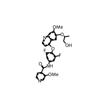 COc1cc2nccc(Oc3c(F)cc(NC(=O)c4ccncc4OC)cc3F)c2cc1OC(C)CO